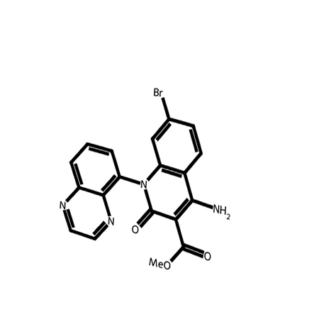 COC(=O)c1c(N)c2ccc(Br)cc2n(-c2cccc3nccnc23)c1=O